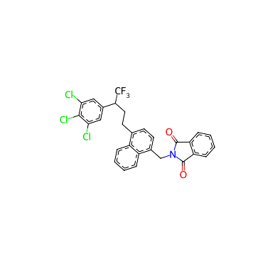 O=C1c2ccccc2C(=O)N1Cc1ccc(CCC(c2cc(Cl)c(Cl)c(Cl)c2)C(F)(F)F)c2ccccc12